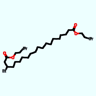 CCC(CCCCCCCCCCCCCCCCC(=O)OCCC(C)C)CC(=O)OCCC(C)C